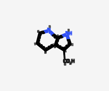 O=C(O)c1c[nH]c2ncccc12